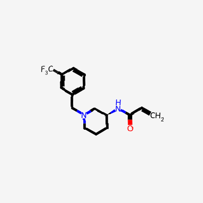 C=CC(=O)N[C@H]1CCCN(Cc2cccc(C(F)(F)F)c2)C1